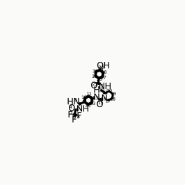 N=C(NC(=O)C(F)(F)F)c1ccc(NC(=O)N2CCCCC2CNC(=O)c2ccc(O)cc2)cc1